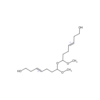 COC(CC/C=C/CCO)OC(CC/C=C/CCO)OC